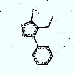 Cc1nnn(-c2ccccc2)c1CI